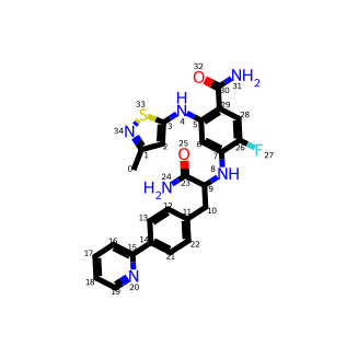 Cc1cc(Nc2cc(NC(Cc3ccc(-c4ccccn4)cc3)C(N)=O)c(F)cc2C(N)=O)sn1